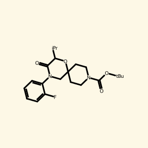 CC(C)C1OC2(CCN(C(=O)OC(C)(C)C)CC2)CN(c2ccccc2F)C1=O